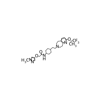 CC(Oc1ccc2c(n1)CCN(CCC1CCC(NC(=O)COc3cnn(C)c3)CC1)CC2)C(F)(F)F